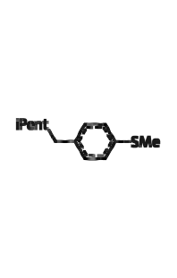 CCCC(C)Cc1ccc(SC)cc1